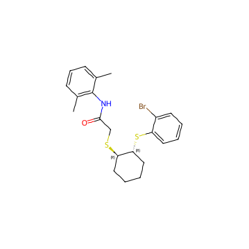 Cc1cccc(C)c1NC(=O)CS[C@@H]1CCCC[C@H]1Sc1ccccc1Br